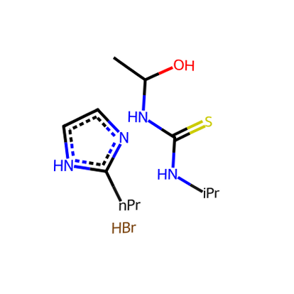 Br.CC(C)NC(=S)NC(C)O.CCCc1ncc[nH]1